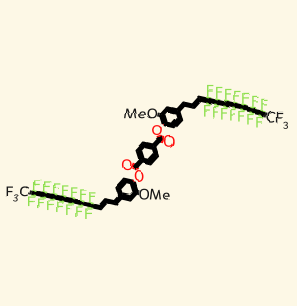 COc1cc(CCCC(F)(F)C(F)(F)C(F)(F)C(F)(F)C(F)(F)C(F)(F)C(F)(F)C(F)(F)F)ccc1OC(=O)c1ccc(C(=O)Oc2ccc(CCCC(F)(F)C(F)(F)C(F)(F)C(F)(F)C(F)(F)C(F)(F)C(F)(F)C(F)(F)F)cc2OC)cc1